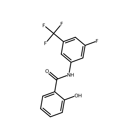 O=C(Nc1cc(F)cc(C(F)(F)F)c1)c1ccccc1O